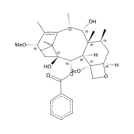 CO[C@H]1C[C@@]2(O)[C@@H](OC(=O)c3ccccc3)[C@@H]3[C@]4(OC(C)=O)CO[C@@H]4C[C@H](C)[C@@]3(C)[C@@H](O)[C@@H](C)C(=C1C)C2(C)C